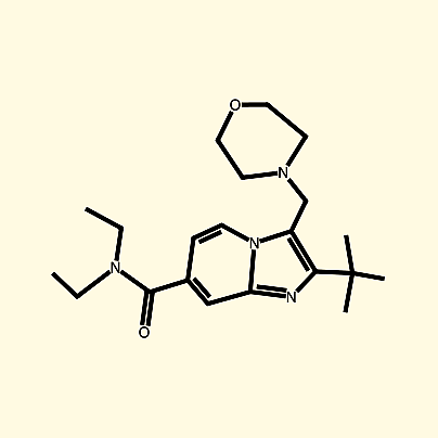 CCN(CC)C(=O)c1ccn2c(CN3CCOCC3)c(C(C)(C)C)nc2c1